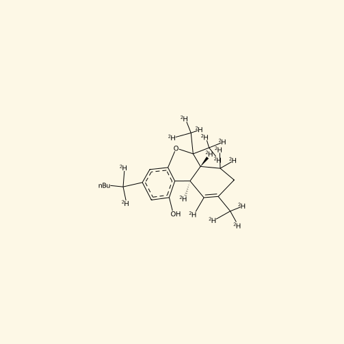 [2H]C1=C(C([2H])([2H])[2H])CC([2H])([2H])[C@@]2([2H])C(C([2H])([2H])[2H])(C([2H])([2H])[2H])Oc3cc(C([2H])([2H])CCCC)cc(O)c3[C@]12[2H]